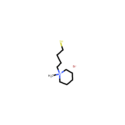 C[N+]1(CCCCS)CCCCC1.[Br-]